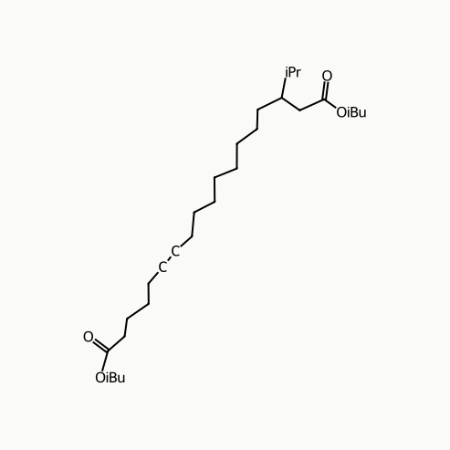 CC(C)COC(=O)CCCCCCCCCCCCCCC(CC(=O)OCC(C)C)C(C)C